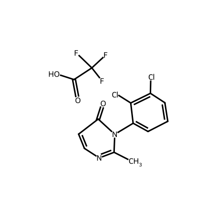 Cc1nccc(=O)n1-c1cccc(Cl)c1Cl.O=C(O)C(F)(F)F